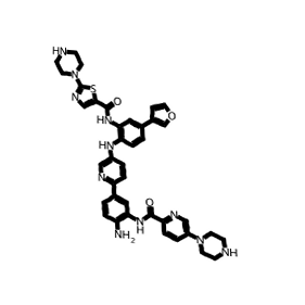 Nc1ccc(-c2ccc(Nc3ccc(-c4ccoc4)cc3NC(=O)c3cnc(N4CCNCC4)s3)cn2)cc1NC(=O)c1ccc(N2CCNCC2)cn1